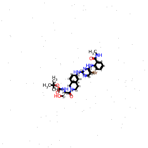 CNC(=O)c1ccccc1Nc1nc(Nc2ccc3c(c2)CCN(C(=O)[C@H](CO)NC(=O)OC(C)(C)C)C3)ncc1Br